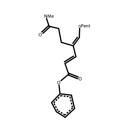 CCCCC/C=C(/C=C/C(=O)Oc1ccccc1)CCC(=O)NC